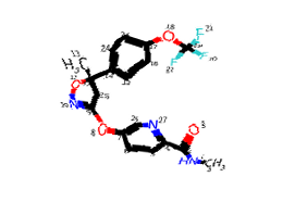 CNC(=O)c1ccc(OC2=NO[C@](C)(c3ccc(OC(F)(F)F)cc3)C2)cn1